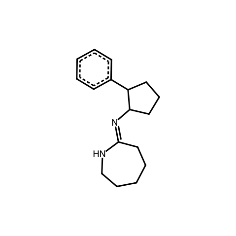 c1ccc(C2CCCC2N=C2CCCCCN2)cc1